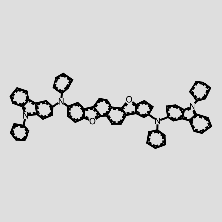 c1ccc(N(c2ccc3oc4c(ccc5c4ccc4c6cc(N(c7ccccc7)c7ccc8c(c7)c7ccccc7n8-c7ccccc7)ccc6oc45)c3c2)c2ccc3c(c2)c2ccccc2n3-c2ccccc2)cc1